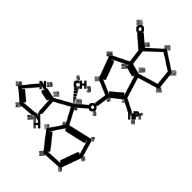 CCCc1c(O[C@@](C)(c2ccccc2)c2ncc[nH]2)ccc2c1CCCC2=O